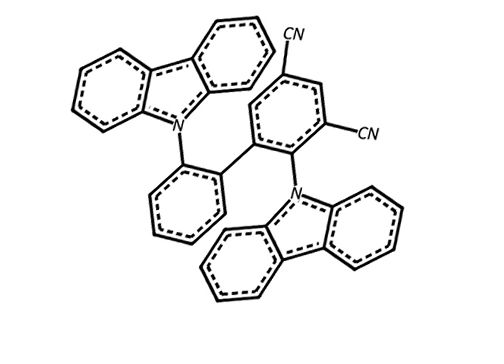 N#Cc1cc(C#N)c(-n2c3ccccc3c3ccccc32)c(-c2ccccc2-n2c3ccccc3c3ccccc32)c1